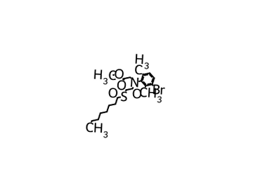 CCCCCCCC(=O)SCC(=O)N(CC(=O)OC)c1c(C)ccc(Br)c1C